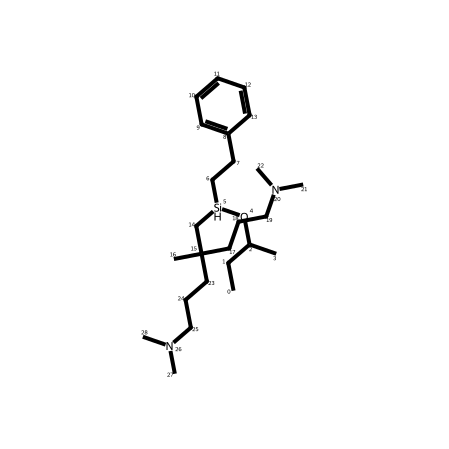 CCC(C)O[SiH](CCc1ccccc1)CC(C)(CCCN(C)C)CCCN(C)C